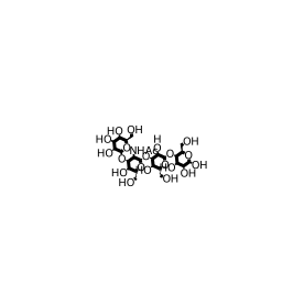 CC(=O)N[C@H]1[C@H](O[C@H]2[C@@H](O)[C@@H](CO)O[C@@H](O[C@H]3[C@H](O)[C@@H](O)[C@H](O)O[C@@H]3CO)[C@@H]2O)O[C@H](CO)[C@@H](O)[C@@H]1O[C@@H]1O[C@H](CO)[C@H](O)[C@H](O)[C@H]1O